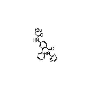 CC(C)(C)CC(=O)Nc1ccc(C(=O)Nc2nccs2)c(-c2ccccc2)c1